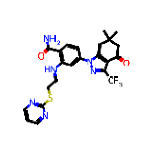 CC1(C)CC(=O)c2c(C(F)(F)F)nn(-c3ccc(C(N)=O)c(NCCSc4ncccn4)c3)c2C1